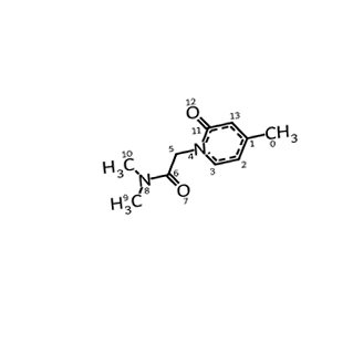 Cc1ccn(CC(=O)N(C)C)c(=O)c1